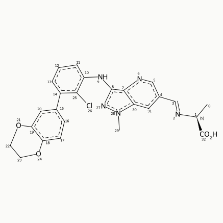 C[C@H](N=Cc1cnc2c(Nc3cccc(-c4ccc5c(c4)OCCO5)c3Cl)nn(C)c2c1)C(=O)O